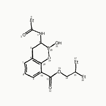 CCC(=O)NC1Cc2cccc(C(=O)OCC(CC)CC)c2OB1O